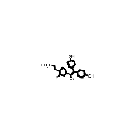 CCC(=C(c1ccc(O)cc1)c1ccc(O)cc1)c1ccc(CCC(=O)O)c(F)c1